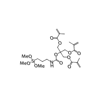 C=C(C)C(=O)OCC(COC(=O)C(=C)C)(COC(=O)C(=C)C)OC(=O)NCCC[Si](OC)(OC)OC